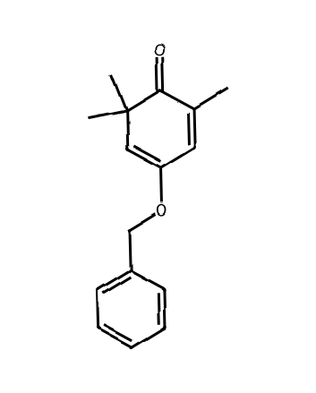 CC1=CC(OCc2ccccc2)=CC(C)(C)C1=O